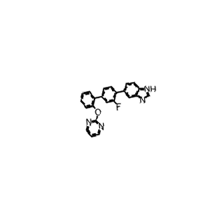 Fc1cc(-c2ccccc2Oc2ncccn2)ccc1-c1ccc2[nH]cnc2c1